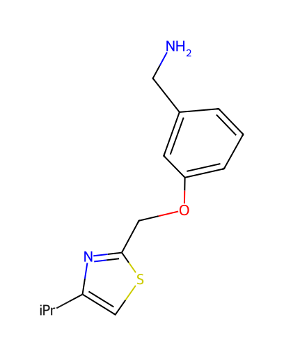 CC(C)c1csc(COc2cccc(CN)c2)n1